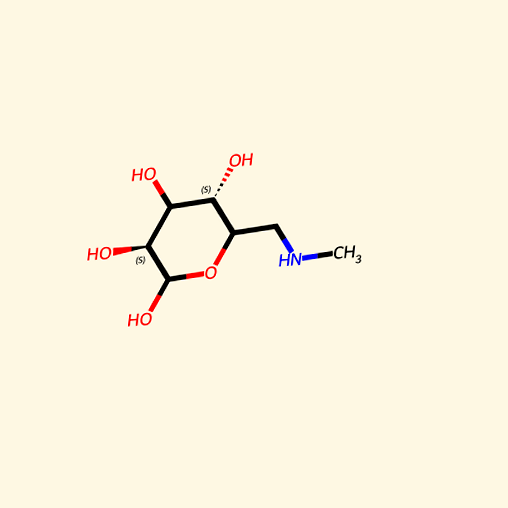 CNCC1OC(O)[C@@H](O)C(O)[C@@H]1O